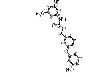 N#Cc1cc(Oc2cccc(CCC(=O)Nc3cc(Br)cc(C(F)(F)F)c3)c2)ccn1